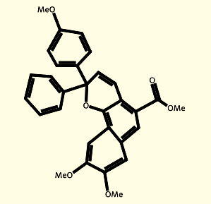 COC(=O)c1cc2cc(OC)c(OC)cc2c2c1C=CC(c1ccccc1)(c1ccc(OC)cc1)O2